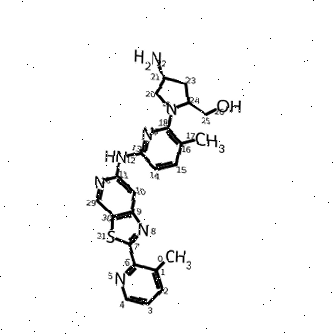 Cc1cccnc1-c1nc2cc(Nc3ccc(C)c(N4C[C@@H](N)CC4CO)n3)ncc2s1